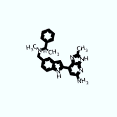 Cc1nc2c(-c3cc4cc(CN(C)[C@H](C)c5ccccc5)ccc4[nH]3)cc(N)nc2[nH]1